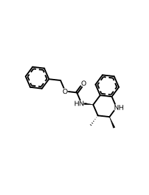 C[C@H]1[C@H](C)Nc2ccccc2[C@@H]1NC(=O)OCc1ccccc1